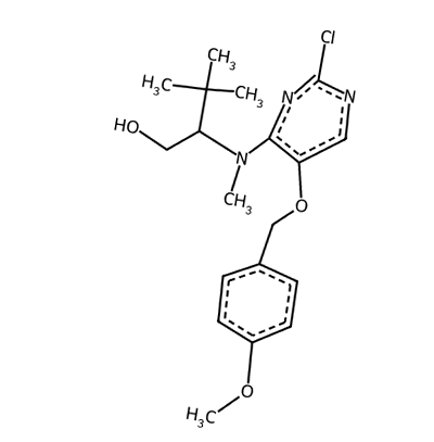 COc1ccc(COc2cnc(Cl)nc2N(C)C(CO)C(C)(C)C)cc1